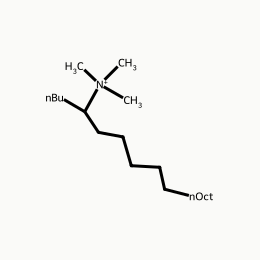 CCCCCCCCCCCCCC(CCCC)[N+](C)(C)C